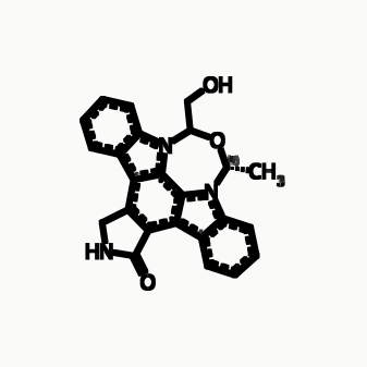 C[C@H]1OC(CO)n2c3ccccc3c3c4c(c5c6ccccc6n1c5c32)C(=O)NC4